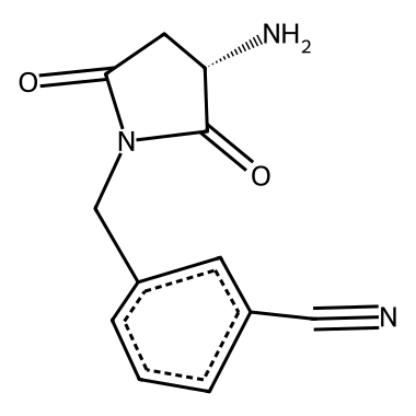 N#Cc1cccc(CN2C(=O)C[C@H](N)C2=O)c1